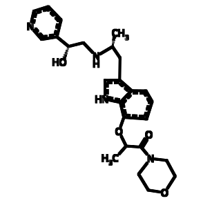 CC(Oc1cccc2c(C[C@@H](C)NC[C@H](O)c3cccnc3)c[nH]c12)C(=O)N1CCOCC1